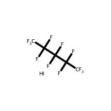 FC(F)(F)C(F)(F)C(F)(F)C(F)(F)C(F)(F)F.I